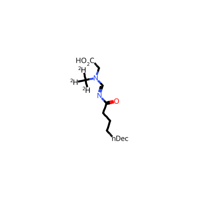 [2H]C([2H])([2H])N(C=NC(=O)CCCCCCCCCCCCC)CC(=O)O